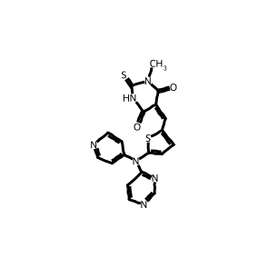 CN1C(=O)/C(=C/c2ccc(N(c3ccncc3)c3ccncn3)s2)C(=O)NC1=S